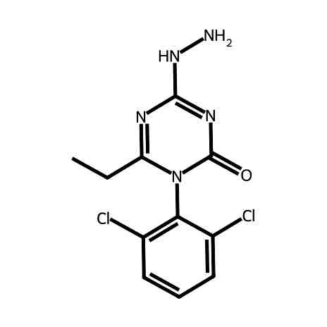 CCc1nc(NN)nc(=O)n1-c1c(Cl)cccc1Cl